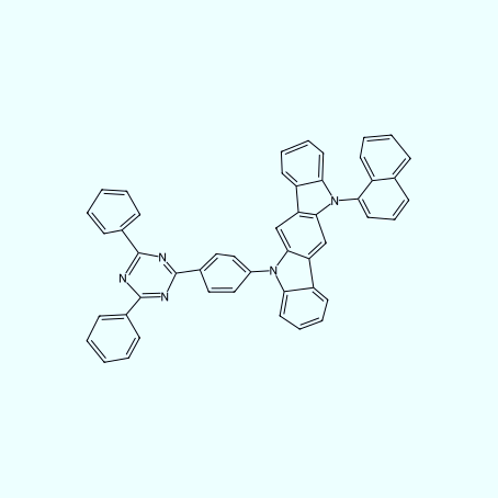 c1ccc(-c2nc(-c3ccccc3)nc(-c3ccc(-n4c5ccccc5c5cc6c(cc54)c4ccccc4n6-c4cccc5ccccc45)cc3)n2)cc1